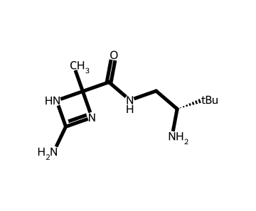 CC1(C(=O)NC[C@@H](N)C(C)(C)C)N=C(N)N1